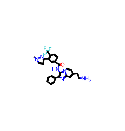 Cn1ccc(-c2cc(C(=O)Nc3c(-c4ccccc4)nc4cc(CCN)ccn34)ccc2C(F)(F)F)n1